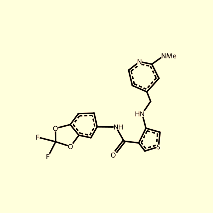 CNc1cc(CNc2cscc2C(=O)Nc2ccc3c(c2)OC(F)(F)O3)ccn1